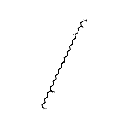 CCCCCCCCCCCCCCCC(=O)CCCCCCCCC=CCCCCCCCCPOCC(O)CO